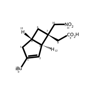 CCC(C)C1=C[C@H]2[C@H](C1)C[C@]2(CC(=O)O)C[N+](=O)[O-]